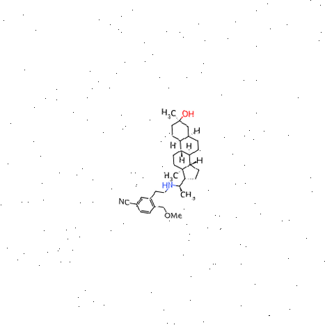 COCc1ccc(C#N)cc1CCN[C@H](C)[C@H]1CC[C@H]2[C@@H]3CC[C@@H]4C[C@](C)(O)CC[C@@H]4[C@H]3CC[C@]12C